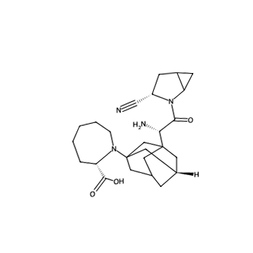 N#C[C@@H]1CC2CC2N1C(=O)[C@@H](N)C12CC3C[C@@H](C1)CC(N1CCCCC[C@H]1C(=O)O)(C3)C2